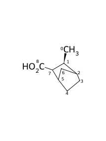 C[C@H]1C2CCC(C2)C1C(=O)O